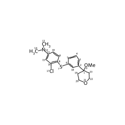 COC1(c2cccc(Sc3ccc(N(C)C)cc3Cl)c2)CCOCC1